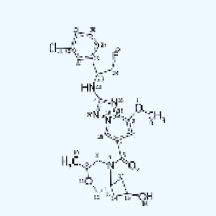 COc1cc(C(=O)N2CC(C)OC[C@]23C[C@H](O)C3)cn2nc(NC(CF)c3cccc(Cl)c3)nc12